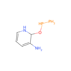 NC1=CC=CNC1OPP